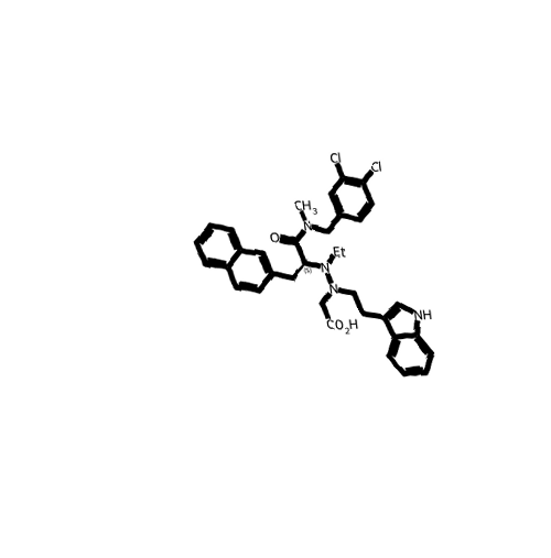 CCN([C@@H](Cc1ccc2ccccc2c1)C(=O)N(C)Cc1ccc(Cl)c(Cl)c1)N(CCc1c[nH]c2ccccc12)CC(=O)O